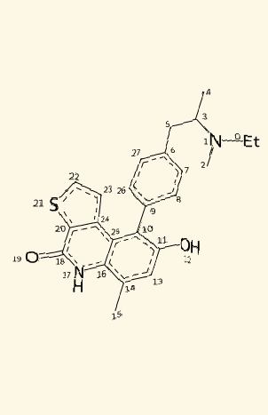 CCN(C)C(C)Cc1ccc(-c2c(O)cc(C)c3[nH]c(=O)c4sccc4c23)cc1